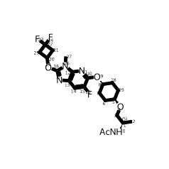 CC(=O)N[C@@H](C)CO[C@H]1CC[C@H](Oc2nc3c(cc2F)nc(OC2CC(F)(F)C2)n3C)CC1